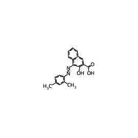 Cc1ccc(/N=N/c2c(O)c(C(=O)O)cc3ccccc23)c(C)c1